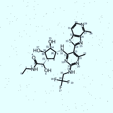 CCNC(=O)C(O)[C@H]1C[C@@H](Nc2nc(NCC(F)(F)F)nc(C)c2-c2nc3c(C)nccc3s2)[C@H](O)[C@@H]1O